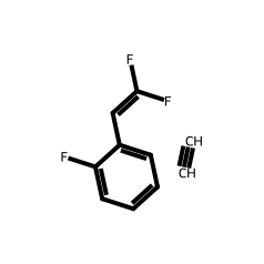 C#C.FC(F)=Cc1ccccc1F